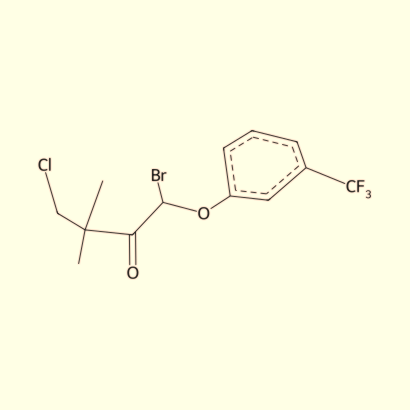 CC(C)(CCl)C(=O)C(Br)Oc1cccc(C(F)(F)F)c1